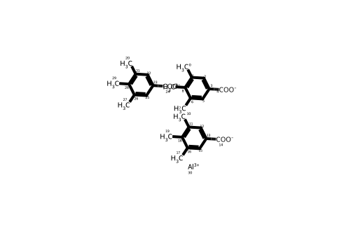 Cc1cc(C(=O)[O-])cc(C)c1C.Cc1cc(C(=O)[O-])cc(C)c1C.Cc1cc(C(=O)[O-])cc(C)c1C.[Al+3]